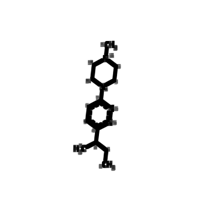 CCC(C)c1ccc(N2CCN(C)CC2)nn1